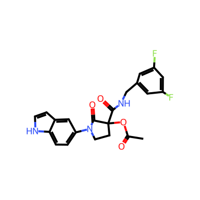 CC(=O)OC1(C(=O)NCc2cc(F)cc(F)c2)CCN(c2ccc3[nH]ccc3c2)C1=O